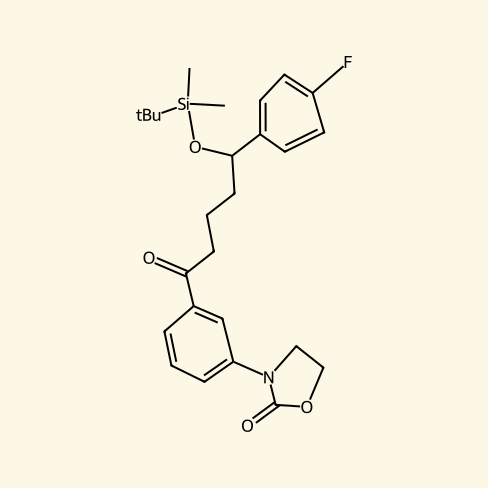 CC(C)(C)[Si](C)(C)OC(CCCC(=O)c1cccc(N2CCOC2=O)c1)c1ccc(F)cc1